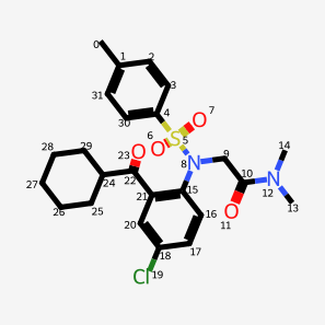 Cc1ccc(S(=O)(=O)N(CC(=O)N(C)C)c2ccc(Cl)cc2C(=O)C2CCCCC2)cc1